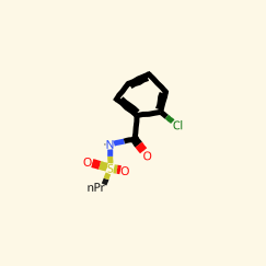 CCCS(=O)(=O)[N]C(=O)c1ccccc1Cl